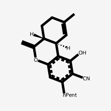 C=C1Oc2cc(CCCCC)c(C#N)c(O)c2[C@@H]2C=C(C)CC[C@@H]12